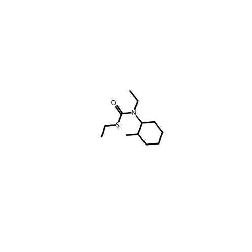 CCSC(=O)N(CC)C1CCCCC1C